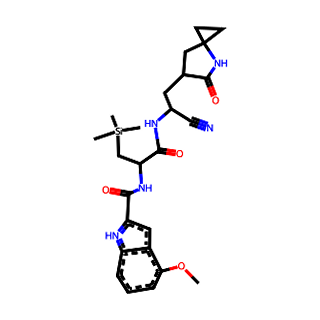 COc1cccc2[nH]c(C(=O)NC(C[Si](C)(C)C)C(=O)NC(C#N)CC3CC4(CC4)NC3=O)cc12